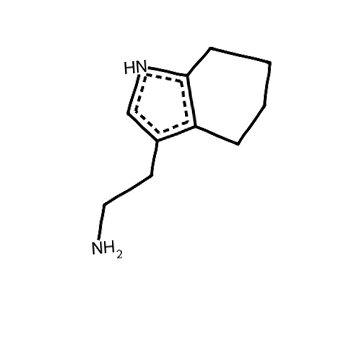 NCCc1c[nH]c2c1CCCC2